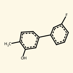 Cc1ccc(-c2cccc(F)c2)cc1O